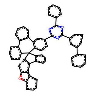 c1ccc(-c2cccc(-c3nc(-c4ccccc4)nc(-c4ccc5c(c4)-c4ccccc4-c4ccccc4C54c5ccccc5-c5c4ccc4oc6ccccc6c54)n3)c2)cc1